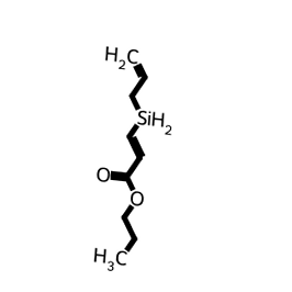 C=CC[SiH2]C=CC(=O)OCCC